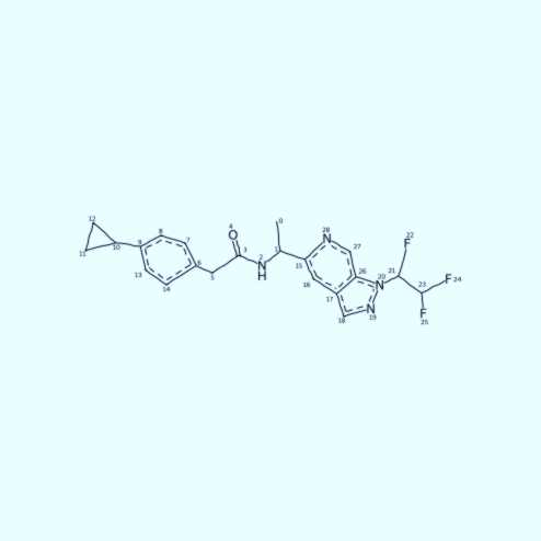 CC(NC(=O)Cc1ccc(C2CC2)cc1)c1cc2cnn(C(F)C(F)F)c2cn1